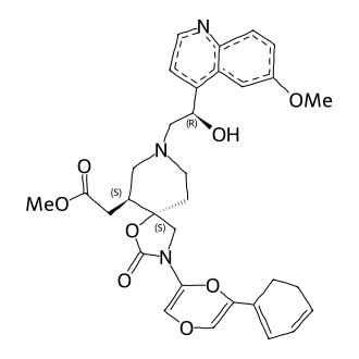 COC(=O)C[C@H]1CN(C[C@H](O)c2ccnc3ccc(OC)cc23)CC[C@@]12CN(C1=COC=C(C3=CC=CCC3)O1)C(=O)O2